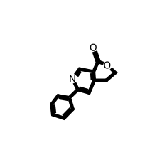 O=C1OCCc2cc(-c3ccccc3)ncc21